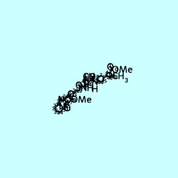 COC(=O)c1cc(-c2ccc(NC(=O)c3cc(NC(=O)CCCOc4cc5c(cc4OC)C(=O)N4CCCCCC4C=N5)cn3C)cc2)cn1C